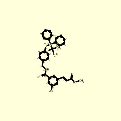 COC(=O)/C=C/c1cc(Br)cc(C(=O)NCc2ccc(O[Si](c3ccccc3)(c3ccccc3)C(C)(C)C)cc2)c1